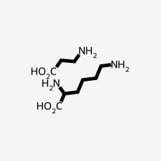 NCCC(=O)O.NCCCCC(N)C(=O)O